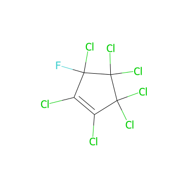 FC1(Cl)C(Cl)=C(Cl)C(Cl)(Cl)C1(Cl)Cl